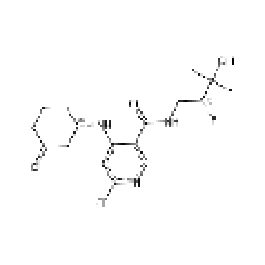 CC(C)(O)[C@H](F)CNC(=O)c1cnc(Cl)cc1N[C@H]1CCCC(=O)C1